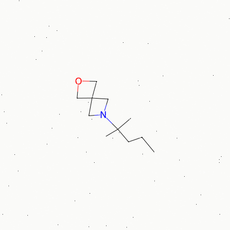 CCCC(C)(C)N1CC2(COC2)C1